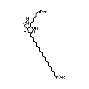 CCCCCCCCCCCCCCCCCCCCCCCCCCCC(=O)N[C@@H](CO)[C@H](O)[C@H](O)CCCCCCCCCCCCCC